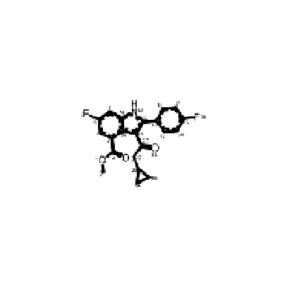 COC(=O)c1cc(F)cc2[nH]c(-c3ccc(F)cc3)c(C(=O)CC3CC3)c12